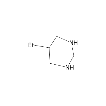 CCC1CNCNC1